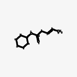 CC=CCC(=O)OC1CCCCC1